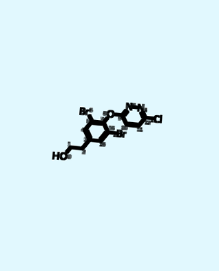 OCCc1cc(Br)c(Oc2ccc(Cl)nn2)c(Br)c1